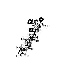 N=C(N)NC(NC(=O)C(NC(=N)N)NC(=O)C(NC(=N)N)NC(=O)C(NC(=N)N)NC(=O)C(NC(=O)C(O)NC(=O)CN(CC(=O)O)c1ccccc1OCCOc1ccccc1N(CC(=O)O)CC(=O)O)c1ccccc1)C(=O)NC(N)C(N)=O